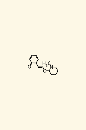 CN1CCCCC1OC=CC1C=CC=CC1=O